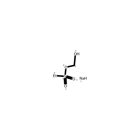 CCS(=O)(=O)OCO.[NaH]